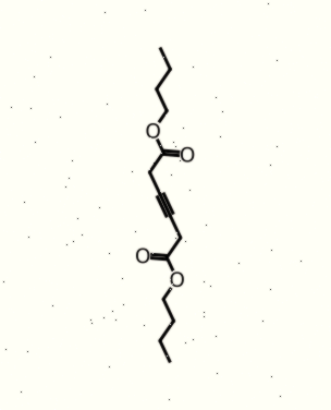 CCCCOC(=O)CC#CCC(=O)OCCCC